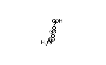 CC(F)(F)C(F)(F)Oc1ccc(C(=O)Oc2ccc(/C=C/C(=O)O)cc2)cc1